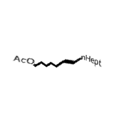 CCCCCCC/C=C/CCCCCOC(C)=O